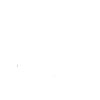 CC(C)C1=CS/C2=N/C(C)(C)C(C)c3ccccc3CC12